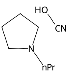 CCCN1CCCC1.N#CO